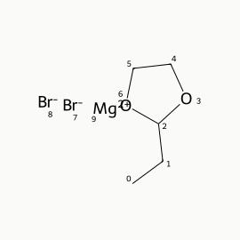 CCC1OCCO1.[Br-].[Br-].[Mg+2]